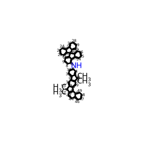 CC1(C)c2cc(Nc3cccc4c3-c3ccccc3C43c4ccccc4-c4ccccc43)ccc2-c2cc3c(cc21)-c1c(ccc2ccccc12)C3(C)C